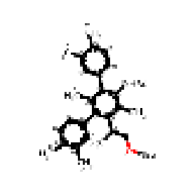 CC(=O)Nc1c(C)c(C(COC(C)(C)C)C(=O)O)c(-c2ccc(C)c(C)c2)c(C)c1-c1ccc(C)c(C)c1